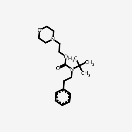 CC(C)(C)N(CCc1ccccc1)C(=O)OCCN1CCOCC1